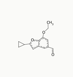 CCOc1cc(C=O)cc2cc(C3CC3)oc12